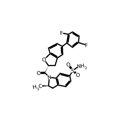 C[C@@H]1Cc2ccc(S(N)(=O)=O)cc2N1C(=O)[C@H]1Cc2cc(-c3cc(F)ccc3F)ccc2O1